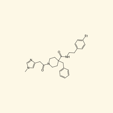 CCc1ccc(CCNC(=O)C2(Cc3ccccc3)CCN(C(=O)Cc3cn(C)cn3)CC2)cc1